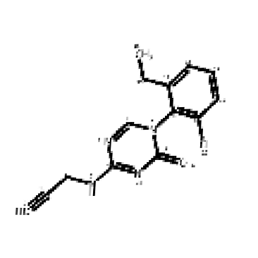 C#CCNc1ncn(-c2c(Cl)cccc2CC)c(=O)n1